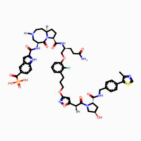 CC(=O)N1CC[C@H]2CC[C@@H](C(=O)N[C@@H](CCC(N)=O)COc3cccc(CCCOc4cc([C@@H](C(=O)N5C[C@H](O)C[C@H]5C(=O)NCc5ccc(-c6scnc6C)cc5)C(C)C)on4)c3F)N2C(=O)[C@@H](NC(=O)c2cc3cc(C(=O)P(=O)(O)O)ccc3[nH]2)C1